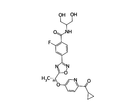 C[C@@H](Oc1ccc(C(=O)C2CC2)nc1)c1nc(-c2ccc(C(=O)NC(CO)CO)c(F)c2)no1